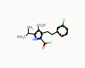 CCOC(=O)c1c(C(C)C(=O)OCC)[nH]c(C(=O)Cl)c1CCc1cccc(Cl)c1